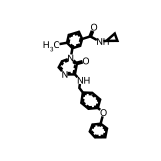 Cc1ccc(C(=O)NC2CC2)cc1-n1ccnc(NCc2ccc(Oc3ccccc3)cc2)c1=O